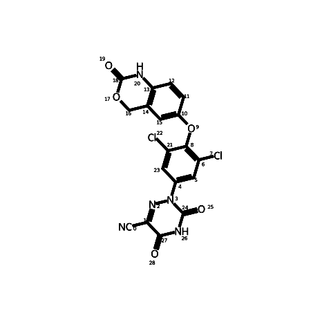 N#Cc1nn(-c2cc(Cl)c(Oc3ccc4c(c3)COC(=O)N4)c(Cl)c2)c(=O)[nH]c1=O